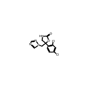 O=C1NCC(Cn2cncn2)(c2ccc(Cl)cc2Cl)O1